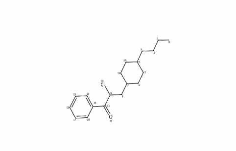 CCCCC1CCC(CC(Cl)C(=O)c2ccccc2)CC1